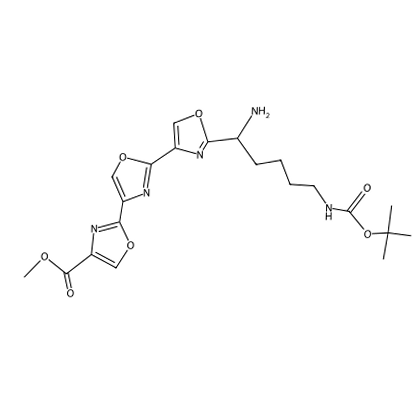 COC(=O)c1coc(-c2coc(-c3coc(C(N)CCCCNC(=O)OC(C)(C)C)n3)n2)n1